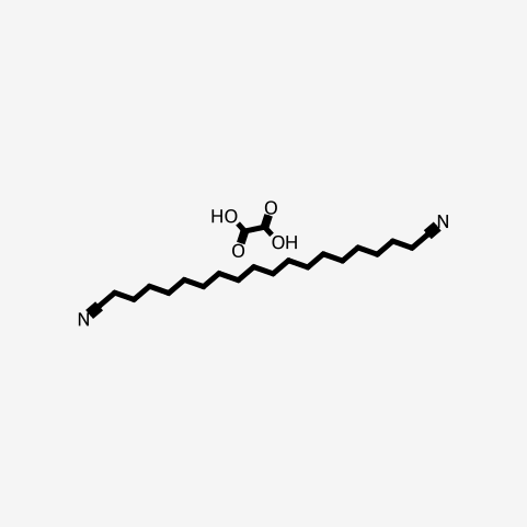 N#CCCCCCCCCCCCCCCCCCCC#N.O=C(O)C(=O)O